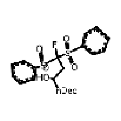 CCCCCCCCCCC(O)CC(F)(S(=O)(=O)c1ccccc1)S(=O)(=O)c1ccccc1